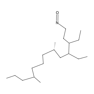 CCCC(C)CCC[C@H](C)CC(CC)C(CC)CCN=O